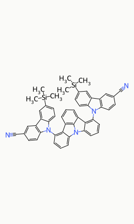 C[Si](C)(C)c1ccc2c(c1)c1cc(C#N)ccc1n2-c1cccc2c1c1cccc3c4c(-n5c6ccc(C#N)cc6c6cc([Si](C)(C)C)ccc65)cccc4n2c13